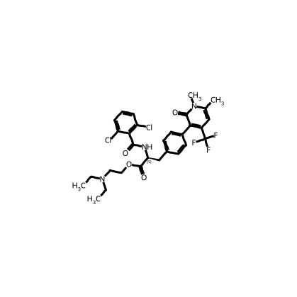 CCN(CC)CCOC(=O)[C@H](Cc1ccc(-c2c(C(F)(F)F)cc(C)n(C)c2=O)cc1)NC(=O)c1c(Cl)cccc1Cl